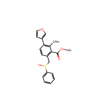 CCCCOC(=O)c1c(C[S+]([O-])c2ccccc2)ccc(-c2ccoc2)c1OC